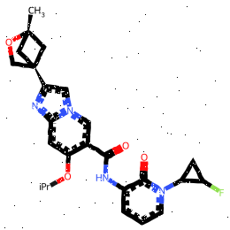 CC(C)Oc1cc2nc([C@]34CO[C@](C)(C3)C4)cn2cc1C(=O)Nc1cccn(C2CC2F)c1=O